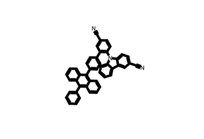 N#Cc1ccc(-n2c3ccccc3c3cc(C#N)ccc32)c(-c2ccc(-c3c4ccccc4c(-c4ccccc4)c4ccccc34)cc2)c1